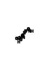 O=C1CCN(c2cnc3cc(N4CCN(C[C@@H]5CNCCO5)CC4)ccn23)C(=O)N1